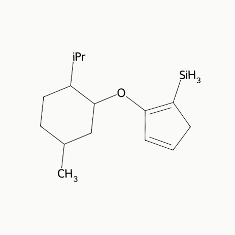 CC1CCC(C(C)C)C(OC2=C([SiH3])CC=C2)C1